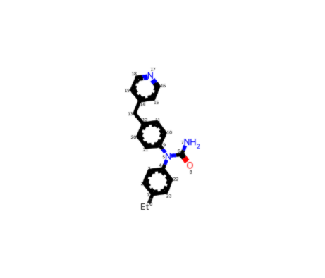 CCc1ccc(N(C(N)=O)c2ccc(Cc3ccncc3)cc2)cc1